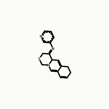 C1=CC2=CN3CSCC(=Nc4cccnc4)C3C=C2CC1